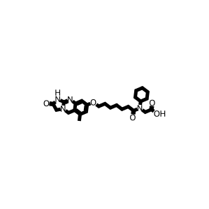 Cc1cc(OCCCCCCC(=O)N(CC(=O)O)C2CCCCC2)cc2c1CN1CC(=O)NC1=N2